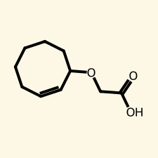 O=C(O)COC1C=CCCCCC1